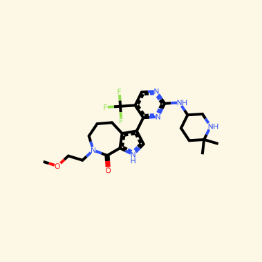 COCCN1CCCc2c(-c3nc(NC4CCC(C)(C)NC4)ncc3C(F)(F)F)c[nH]c2C1=O